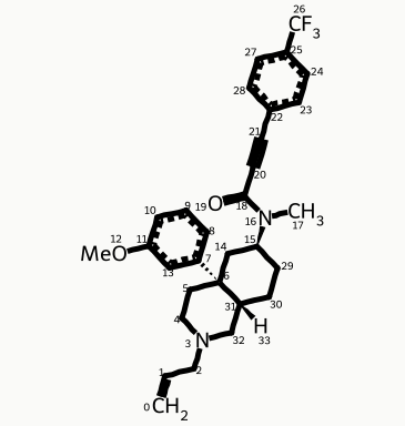 C=CCN1CC[C@@]2(c3cccc(OC)c3)C[C@@H](N(C)C(=O)C#Cc3ccc(C(F)(F)F)cc3)CC[C@@H]2C1